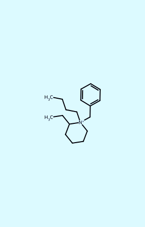 CCCC[N+]1(Cc2ccccc2)CCCCC1CC